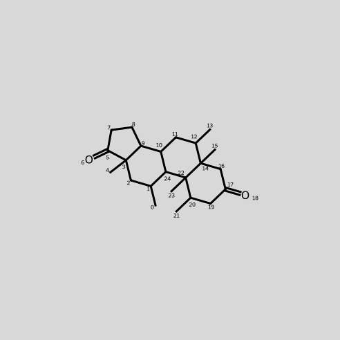 CC1CC2(C)C(=O)CCC2C2CC(C)C3(C)CC(=O)CC(C)C3(C)C12